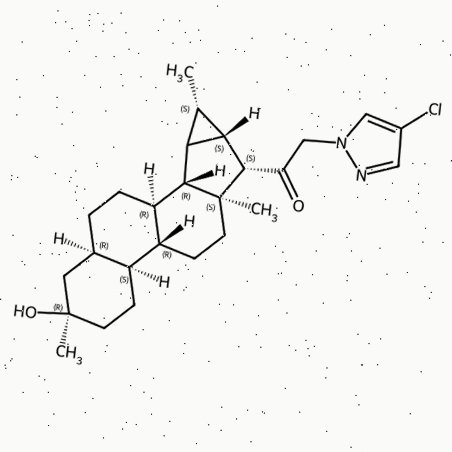 C[C@H]1C2[C@H]1[C@H](C(=O)Cn1cc(Cl)cn1)[C@@]1(C)CC[C@H]3[C@@H](CC[C@@H]4C[C@](C)(O)CC[C@@H]43)[C@H]21